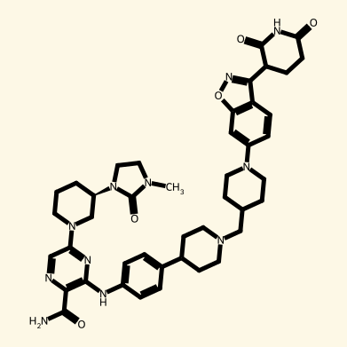 CN1CCN([C@@H]2CCCN(c3cnc(C(N)=O)c(Nc4ccc(C5CCN(CC6CCN(c7ccc8c(C9CCC(=O)NC9=O)noc8c7)CC6)CC5)cc4)n3)C2)C1=O